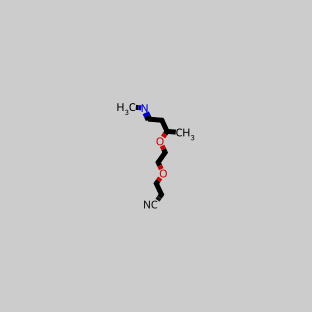 C/N=C/CC(C)OCCOCCC#N